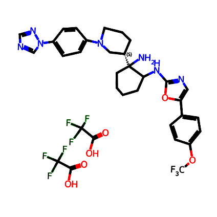 NC1([C@H]2CCCN(c3ccc(-n4cncn4)cc3)C2)CCCCC1Nc1ncc(-c2ccc(OC(F)(F)F)cc2)o1.O=C(O)C(F)(F)F.O=C(O)C(F)(F)F